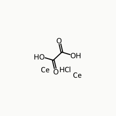 Cl.O=C(O)C(=O)O.[Ce].[Ce]